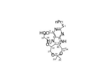 CCCSc1nc(Cl)c(N)c(N[C@@H]2CC(OCCO)COC(C)(C)OC2C)n1